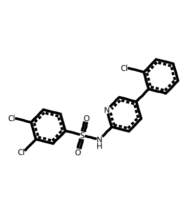 O=S(=O)(Nc1ccc(-c2ccccc2Cl)cn1)c1ccc(Cl)c(Cl)c1